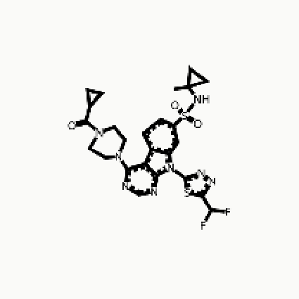 CC1(NS(=O)(=O)c2ccc3c4c(N5CCN(C(=O)C6CC6)CC5)ncnc4n(-c4nnc(C(F)F)s4)c3c2)CC1